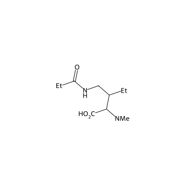 CCC(=O)NCC(CC)C(NC)C(=O)O